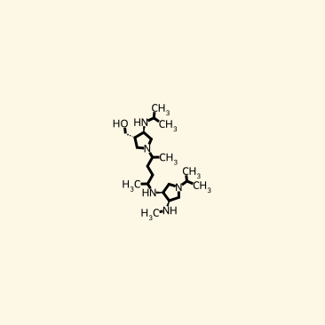 CN[C@@H]1CN(C(C)C)C[C@@H]1NC(C)CCC(C)N1C[C@H](CO)[C@@H](NC(C)C)C1